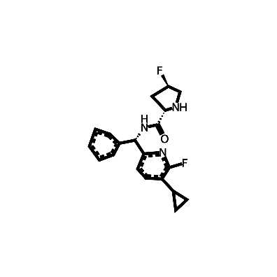 O=C(N[C@@H](c1ccccc1)c1ccc(C2CC2)c(F)n1)[C@@H]1C[C@@H](F)CN1